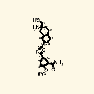 CC(C)Oc1ccc(-c2nnc(-c3ccc4c(c3)C[C@](N)(CO)CC4)o2)cc1C(N)=O